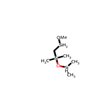 CO[SiH2]C[Si](C)(C)O[SiH](C)C